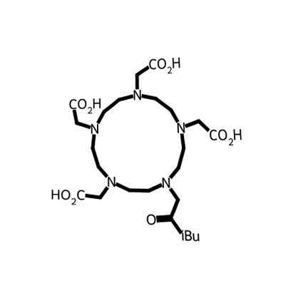 CCC(C)C(=O)CN1CCN(CC(=O)O)CCN(CC(=O)O)CCN(CC(=O)O)CCN(CC(=O)O)CC1